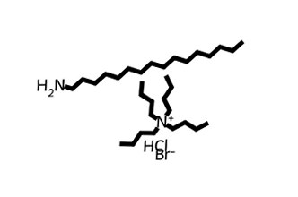 CCCCCCCCCCCCCCCCN.CCCC[N+](CCCC)(CCCC)CCCC.Cl.[Br-]